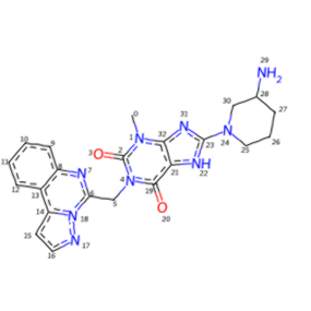 Cn1c(=O)n(Cc2nc3ccccc3c3ccnn23)c(=O)c2[nH]c(N3CCCC(N)C3)nc21